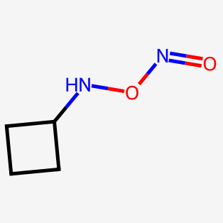 O=NONC1CCC1